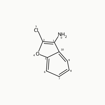 Nc1c(Cl)oc2ccccc12